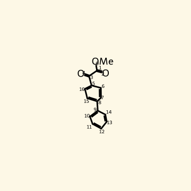 COC(=O)C(=O)c1ccc(-c2ccccc2)cc1